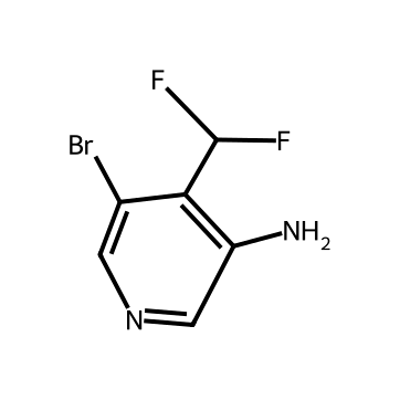 Nc1cncc(Br)c1C(F)F